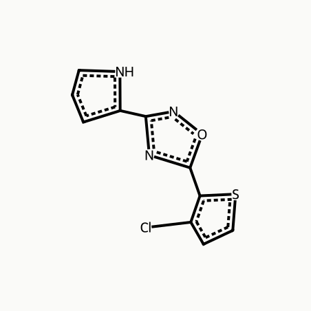 Clc1ccsc1-c1nc(-c2ccc[nH]2)no1